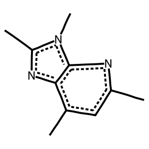 Cc1cc(C)c2nc(C)n(C)c2n1